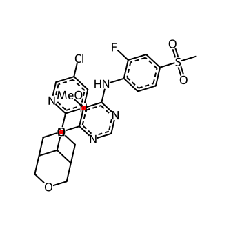 COc1c(Nc2ccc(S(C)(=O)=O)cc2F)ncnc1OC1C2COCC1CN(c1ncc(Cl)cn1)C2